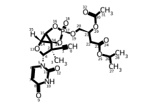 C#C[C@@]1(C)[C@H](n2ccc(=O)[nH]c2=O)O[C@@H]2C3O[P@@](=O)(OC[C@H](CC(=O)OC(C)C)OC(C)=O)O[C@]321